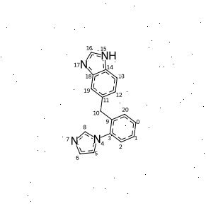 c1ccc(-n2ccnc2)c(Cc2ccc3[nH]cnc3c2)c1